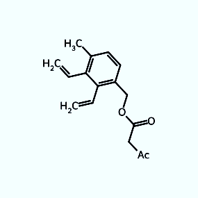 C=Cc1c(C)ccc(COC(=O)CC(C)=O)c1C=C